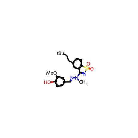 COc1cc(/C=N/N(C)C2=NS(=O)(=O)c3ccc(CCC(C)(C)C)cc32)ccc1O